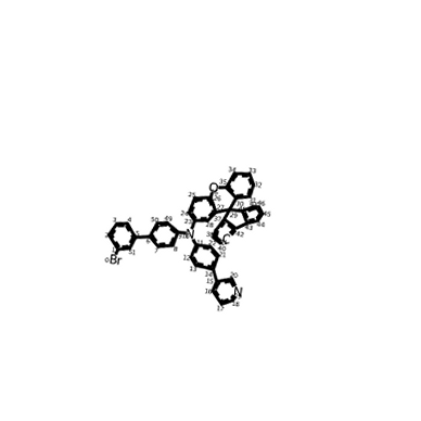 Brc1cccc(-c2ccc(N(c3ccc(-c4cccnc4)cc3)c3ccc4c(c3)C3(c5ccccc5O4)c4ccccc4-c4ccccc43)cc2)c1